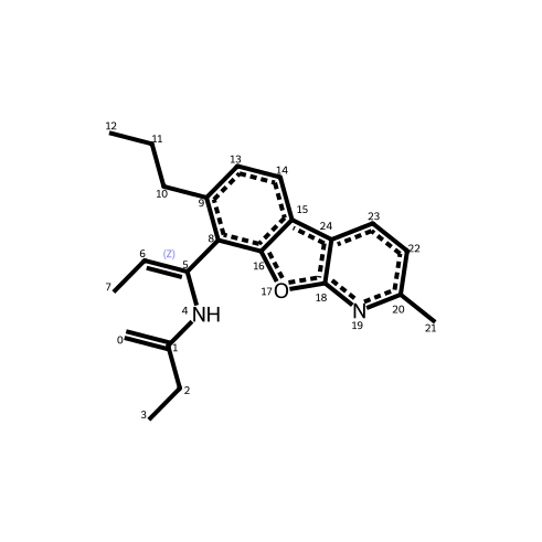 C=C(CC)N/C(=C\C)c1c(CCC)ccc2c1oc1nc(C)ccc12